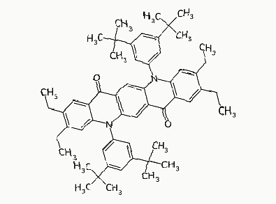 CCc1cc2c(=O)c3cc4c(cc3n(-c3cc(C(C)(C)C)cc(C(C)(C)C)c3)c2cc1CC)c(=O)c1cc(CC)c(CC)cc1n4-c1cc(C(C)(C)C)cc(C(C)(C)C)c1